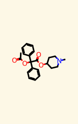 CC(=O)OC(C(=O)OC1CCN(C)CC1)(c1ccccc1)c1ccccc1